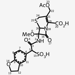 COC1(NC(=O)C(c2ccc3c(c2)CCO3)S(=O)(=O)O)C(=O)N2C(C(=O)O)=C(COC(C)=O)CSC21